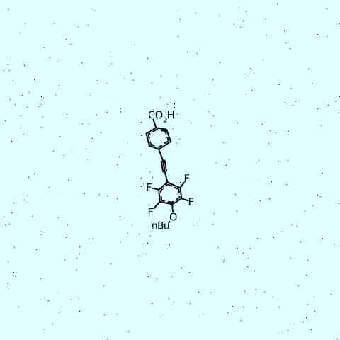 CCCCOc1c(F)c(F)c(C#Cc2ccc(C(=O)O)cc2)c(F)c1F